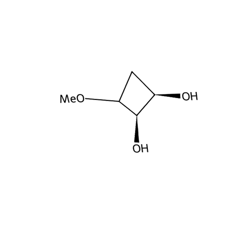 COC1C[C@@H](O)[C@H]1O